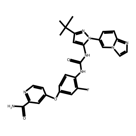 CC(C)(C)c1cc(NC(=O)Nc2ccc(Oc3ccnc(C(N)=O)c3)cc2F)n(-c2ccc3nccn3c2)n1